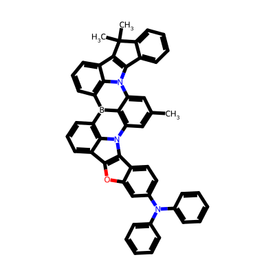 Cc1cc2c3c(c1)-n1c4c(cccc4c4oc5cc(N(c6ccccc6)c6ccccc6)ccc5c41)B3c1cccc3c4c(n-2c13)-c1ccccc1C4(C)C